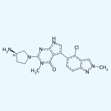 Cn1cc2c(Cl)c(-c3c[nH]c4nc(N5CC[C@@H](N)C5)n(C)c(=O)c34)ccc2n1